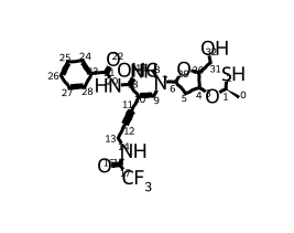 C[C@H](S)OC1CC(N(C=O)/C=C(/C#CCNC(=O)C(F)(F)F)C(=N)NC(=O)c2ccccc2)OC1CO